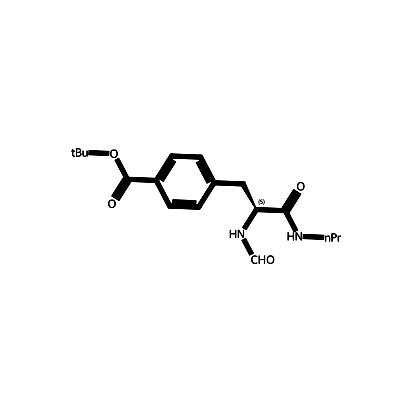 CCCNC(=O)[C@H](Cc1ccc(C(=O)OC(C)(C)C)cc1)NC=O